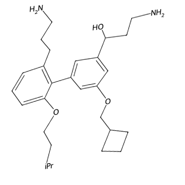 CC(C)CCOc1cccc(CCCN)c1-c1cc(OCC2CCC2)cc(C(O)CCN)c1